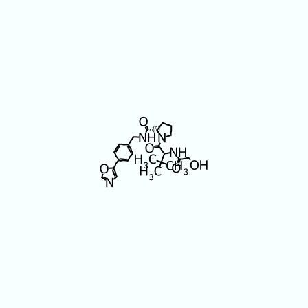 CC(C)(C)C(NC(=O)CO)C(=O)N1CCC[C@H]1C(=O)NCc1ccc(-c2cnco2)cc1